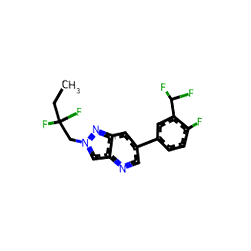 CCC(F)(F)Cn1cc2ncc(-c3ccc(F)c(C(F)F)c3)cc2n1